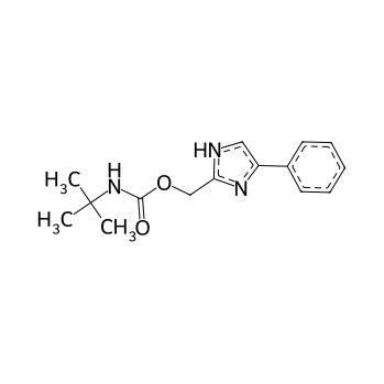 CC(C)(C)NC(=O)OCc1nc(-c2ccccc2)c[nH]1